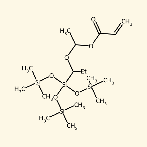 C=CC(=O)OC(C)OC(CC)[Si](O[Si](C)(C)C)(O[Si](C)(C)C)O[Si](C)(C)C